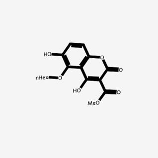 CCCCCCOc1c(O)ccc2oc(=O)c(C(=O)OC)c(O)c12